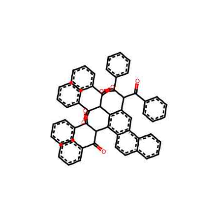 O=C(c1ccccc1)C(C(=O)c1ccccc1)c1cc2c(ccc3ccccc32)c(C(C(=O)c2ccccc2)C(=O)c2ccccc2)c1C(C(=O)c1ccccc1)C(=O)c1ccccc1